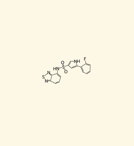 O=S(=O)(Nc1cccc2nsnc12)c1c[nH]c(-c2ccccc2F)c1